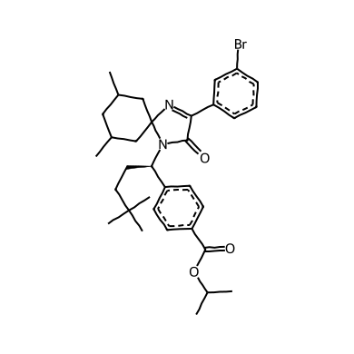 CC1CC(C)CC2(C1)N=C(c1cccc(Br)c1)C(=O)N2[C@H](CCC(C)(C)C)c1ccc(C(=O)OC(C)C)cc1